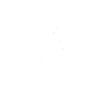 C/C=C(/O)CCC(=N)n1ccnn1